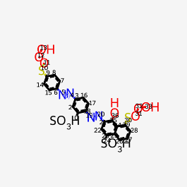 O=S(=O)(O)c1cc(/N=N/c2ccc(SOOO)cc2)ccc1/N=N/c1cc(S(=O)(=O)O)c2cccc(SOOO)c2c1O